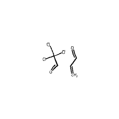 C=CC=O.O=CC(Cl)(Cl)Cl